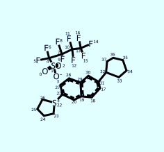 O=S(=O)([O-])C(F)(F)C(F)(F)C(F)(F)C(F)(F)F.c1cc2cc([S+]3CCCC3)ccc2cc1C1CCCCC1